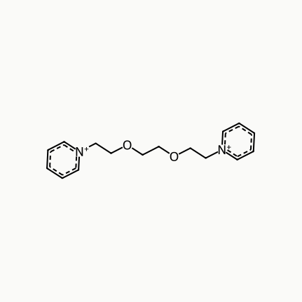 c1cc[n+](CCOCCOCC[n+]2ccccc2)cc1